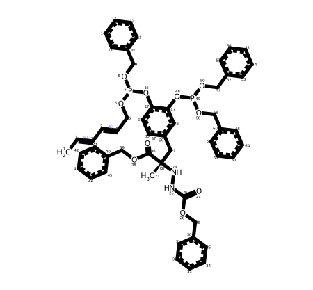 [CH2]/C=C/C=C/COP(OCc1[c]cccc1)Oc1ccc(C[C@](C)(NNC(=O)OCc2ccccc2)C(=O)OCc2ccccc2)cc1OP(OCc1ccccc1)OCc1ccccc1